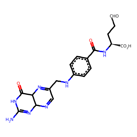 NC1=NC2N=CC(CNc3ccc(C(=O)N[C@@H](CCC=O)C(=O)O)cc3)=NC2C(=O)N1